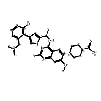 COc1cc2nc(C)nc(N[C@H](C)c3cc(-c4c(Cl)cccc4CN(C)C)cs3)c2cc1[C@H]1CC[C@H](C(=O)O)CC1